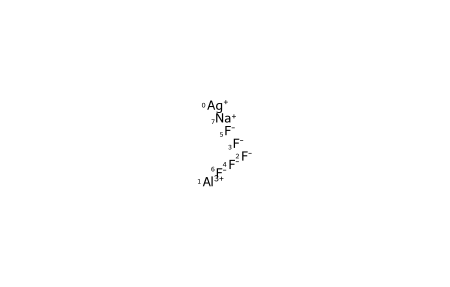 [Ag+].[Al+3].[F-].[F-].[F-].[F-].[F-].[Na+]